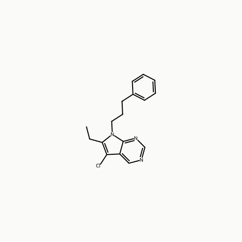 CCc1c(Cl)c2cncnc2n1CCCc1ccccc1